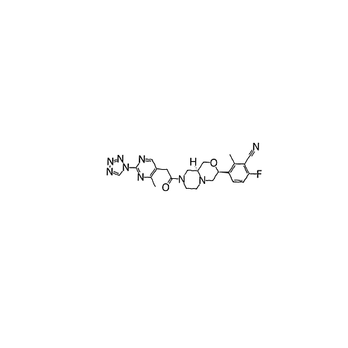 Cc1nc(-n2cnnn2)ncc1CC(=O)N1CCN2C[C@H](c3ccc(F)c(C#N)c3C)OC[C@@H]2C1